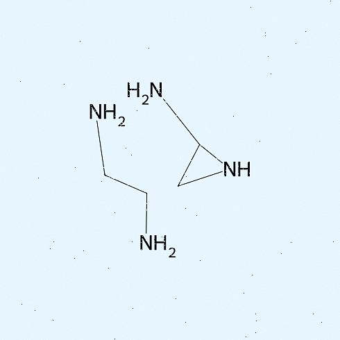 NC1CN1.NCCN